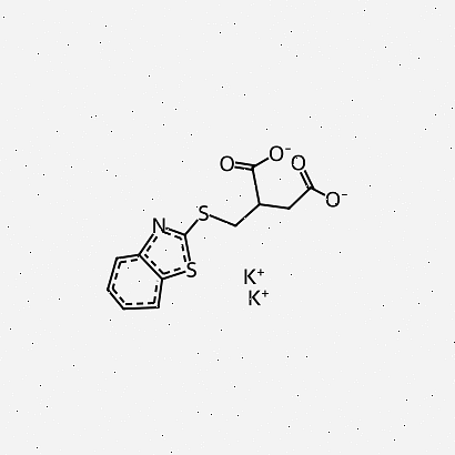 O=C([O-])CC(CSc1nc2ccccc2s1)C(=O)[O-].[K+].[K+]